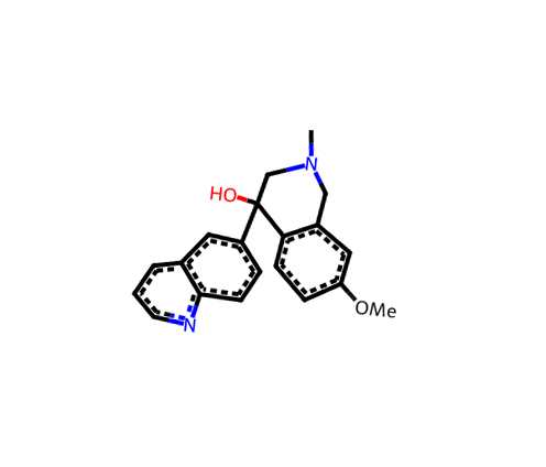 COc1ccc2c(c1)CN(C)CC2(O)c1ccc2ncccc2c1